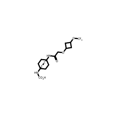 O=C(O)NC12CCC(NC(=O)COC3CC(OC(F)(F)F)C3)(CC1)CC2